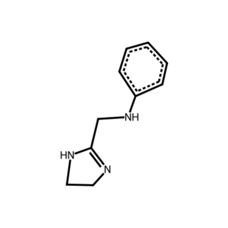 c1ccc(NCC2=NCCN2)cc1